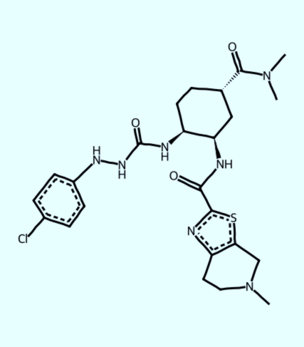 CN1CCc2nc(C(=O)N[C@@H]3C[C@@H](C(=O)N(C)C)CC[C@@H]3NC(=O)NNc3ccc(Cl)cc3)sc2C1